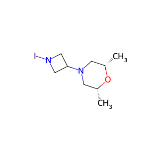 C[C@@H]1CN(C2CN(I)C2)C[C@H](C)O1